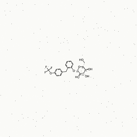 OC[C@H]1O[C@@H](Oc2ccccc2Cc2ccc(OC(F)(F)F)cc2)[C@H](O)[C@@H](O)[C@@H]1O